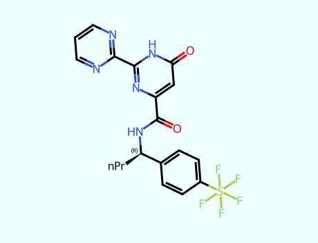 CCC[C@@H](NC(=O)c1cc(=O)[nH]c(-c2ncccn2)n1)c1ccc(S(F)(F)(F)(F)F)cc1